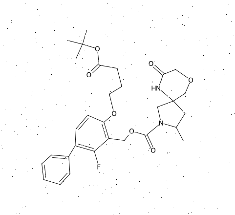 CC1CC2(COCC(=O)N2)CN1C(=O)OCc1c(OCCCC(=O)OC(C)(C)C)ccc(-c2ccccc2)c1F